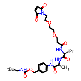 CC(C)[C@H](NC(=O)CCOCCOCCN1C(=O)C=CC1=O)C(=O)N[C@@H](C)C(=O)Nc1ccc(COC(=O)NCC(C)(C)C)cc1